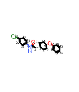 O=C(C[C@H]1CC[C@H](Oc2ccccc2)CC1)Nc1ccc(Cl)cc1